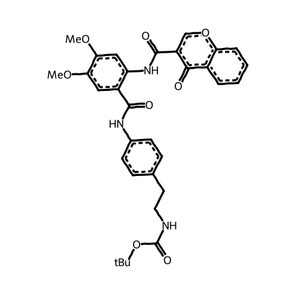 COc1cc(NC(=O)c2coc3ccccc3c2=O)c(C(=O)Nc2ccc(CCNC(=O)OC(C)(C)C)cc2)cc1OC